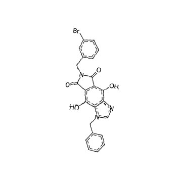 O=C1c2c(c(O)c3c(ncn3Cc3ccccc3)c2O)C(=O)N1Cc1cccc(Br)c1